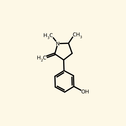 C=C1C(c2cccc(O)c2)CC(C)N1C